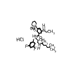 CCNc1cc(C(=O)N[C@@H](Cc2cc(F)cc(F)c2)[C@H](O)CNC(C)CCCC(C)C)cc(N2CCCCS2(=O)=O)c1.Cl